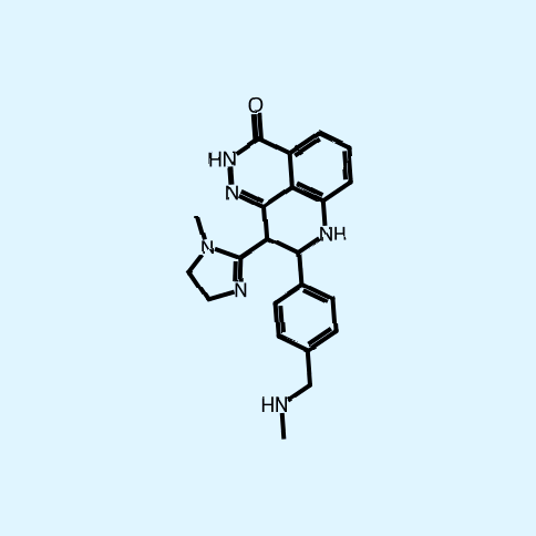 CNCc1ccc(C2Nc3cccc4c(=O)[nH]nc(c34)C2C2=NCCN2C)cc1